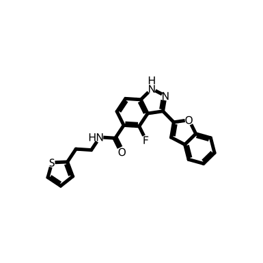 O=C(NCCc1cccs1)c1ccc2[nH]nc(-c3cc4ccccc4o3)c2c1F